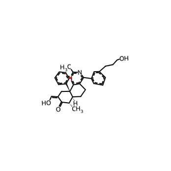 Cc1nc(-c2cccc(CCCO)c2)c2c(n1)[C@@]1(c3ccccc3)C/C(=C/O)C(=O)[C@@H](C)[C@@H]1CC2